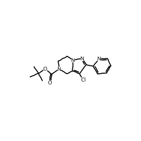 CC(C)(C)OC(=O)N1CCn2nc(-c3ccccn3)c(Cl)c2C1